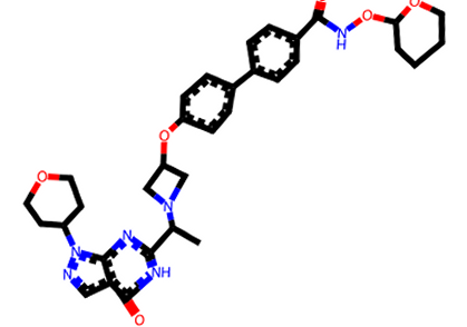 CC(c1nc2c(cnn2C2CCOCC2)c(=O)[nH]1)N1CC(Oc2ccc(-c3ccc(C(=O)NOC4CCCCO4)cc3)cc2)C1